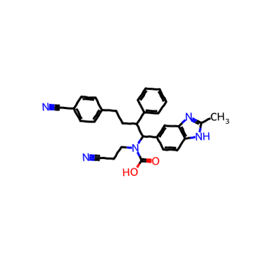 Cc1nc2cc(C(C(CCc3ccc(C#N)cc3)c3ccccc3)N(CCC#N)C(=O)O)ccc2[nH]1